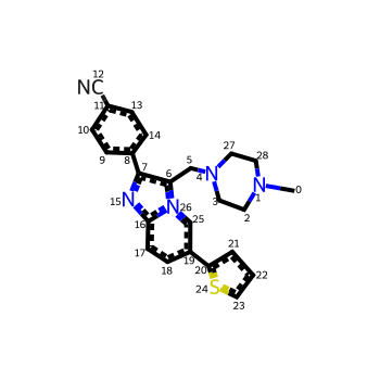 CN1CCN(Cc2c(-c3ccc(C#N)cc3)nc3ccc(-c4cccs4)cn23)CC1